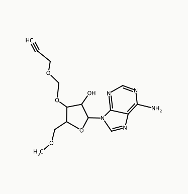 C#CCOCOC1C(COC)OC(n2cnc3c(N)ncnc32)C1O